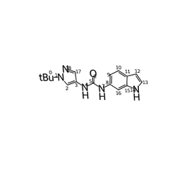 CC(C)(C)n1cc(NC(=O)Nc2ccc3cc[nH]c3c2)cn1